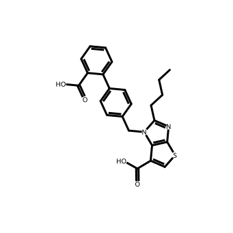 CCCCc1nc2scc(C(=O)O)c2n1Cc1ccc(-c2ccccc2C(=O)O)cc1